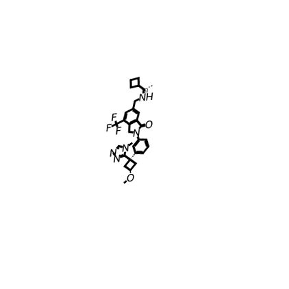 CO[C@H]1C[C@](c2cccc(N3Cc4c(cc(CN[C@@H](C)C5CCC5)cc4C(F)(F)F)C3=O)c2)(c2nncn2C)C1